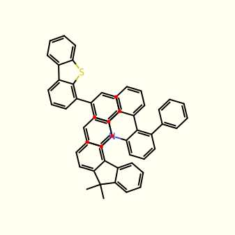 CC1(C)c2ccccc2-c2c(N(c3cccc(-c4cccc5c4sc4ccccc45)c3)c3cccc(-c4ccccc4)c3-c3ccccc3-c3ccccc3)cccc21